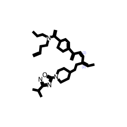 C=CCCN(CCC)C(=C)C1CC=C(C(=C)/C=C\C(=C/C)CCC2CCN(c3nc(C(C)C)no3)CC2)CC1